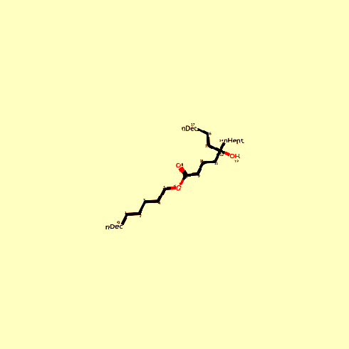 CCCCCCCCCCCCCCCOC(=O)CCCC(O)(CCCCCCC)CCCCCCCCCCCC